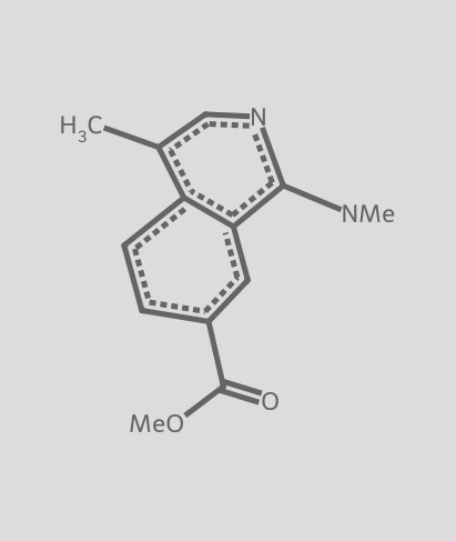 CNc1ncc(C)c2ccc(C(=O)OC)cc12